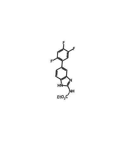 CCOC(=O)Nc1nc2cc(-c3cc(F)c(F)cc3F)ccc2[nH]1